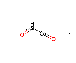 O=[SiH][Co]=[O]